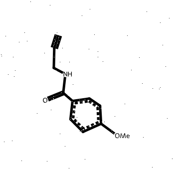 C#CCNC(=O)c1ccc(OC)cc1